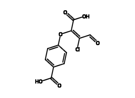 O=CC(Cl)=C(Oc1ccc(C(=O)O)cc1)C(=O)O